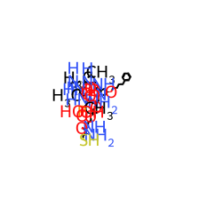 CC(C)C[C@H](NC(=O)C1C[C@@H](OCCCCc2ccccc2)CN1C(=O)CCOCCOCCNC(=O)[C@@H](N)CS)C(=O)N[C@@H](Cc1cnc[nH]1)C(=O)N[C@@H](C)C(=O)N[C@H](C(N)=O)[C@@H](C)CP(=O)(O)O